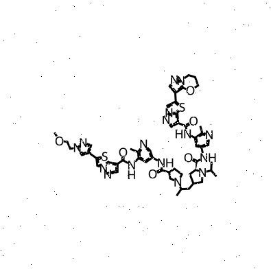 COCCn1cc(-c2cn3ncc(C(=O)Nc4cc(NC(=O)C5CCN(C(C)CC6C[C@@H](C(=O)Nc7cnc(C)c(NC(=O)c8cnn9cc(-c%10cnn%11c%10OCCC%11)sc89)c7)N(C(C)C)C6)C5)cnc4C)c3s2)cn1